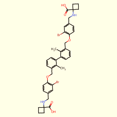 Cc1c(COc2ccc(CNC3(C(=O)O)CCC3)cc2Br)cccc1-c1cccc(COc2ccc(CNC3(C(=O)O)CCC3)cc2Br)c1C